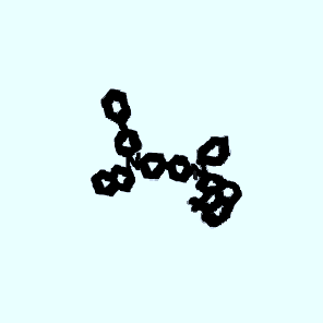 CC1(C)c2cccc3ccc4cc(N(c5ccccc5)c5ccc(-c6ccc(N(c7ccc(-c8ccccc8)cc7)c7ccc8ccccc8c7)cc6)cc5)cc1c4c23